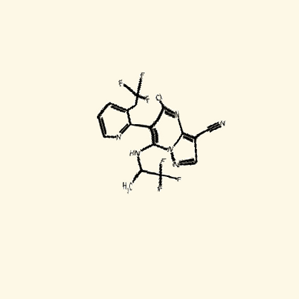 CC(Nc1c(-c2ncccc2C(F)(F)F)c(Cl)nc2c(C#N)cnn12)C(F)(F)F